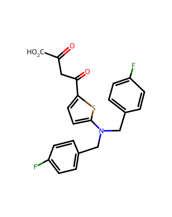 O=C(O)C(=O)CC(=O)c1ccc(N(Cc2ccc(F)cc2)Cc2ccc(F)cc2)s1